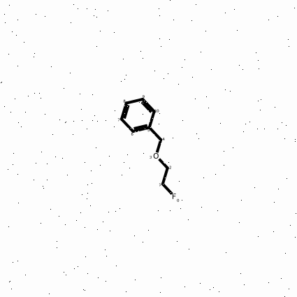 FCCOCc1ccccc1